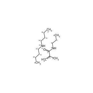 C=C(C)C(=O)NCCC.CCCCNCCCC